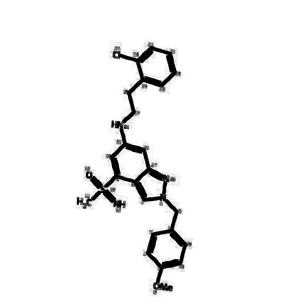 COc1ccc(Cn2cc3c(S(C)(=N)=O)cc(NCCc4ccccc4Cl)cc3n2)cc1